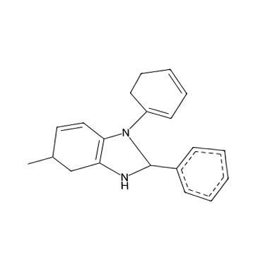 CC1C=CC2=C(C1)NC(c1ccccc1)N2C1=CC=CCC1